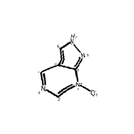 [O-][n+]1cncc2c[nH]nc21